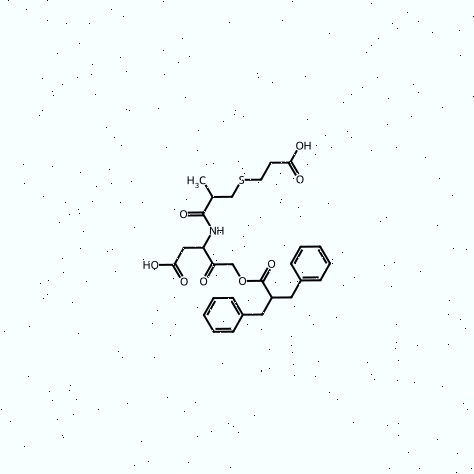 CC(CSCCC(=O)O)C(=O)NC(CC(=O)O)C(=O)COC(=O)C(Cc1ccccc1)Cc1ccccc1